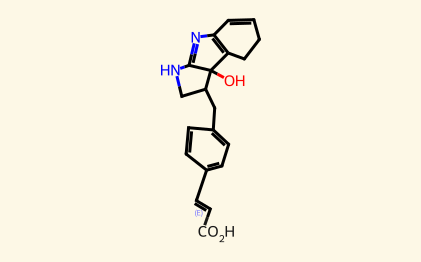 O=C(O)/C=C/c1ccc(CC2CNC3=NC4=C(CCC=C4)C32O)cc1